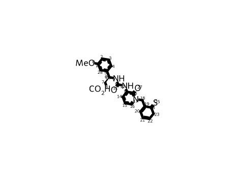 COc1cccc([C@H](CC(=O)O)NC(=O)Nc2cccn(CC3=CC=CCC3=S)c2=O)c1